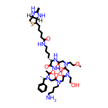 C=C1N[C@H]2CSC(CCCCC(=O)NCCCC[C@H](NC(=O)CN(CCOC)C(=O)CN(CCO)C(=O)CN(CCCCN)C(=O)CN(C(C)=O)[C@@H](C)c3ccccc3)C(N)=O)[C@H]2N1